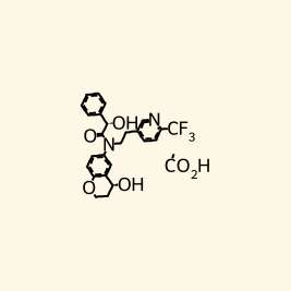 CC(=O)O.O=C([C@@H](O)c1ccccc1)N(CCc1ccc(C(F)(F)F)nc1)c1ccc2c(c1)[C@@H](O)CCO2